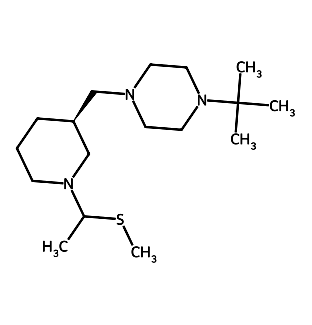 CSC(C)N1CCC[C@@H](CN2CCN(C(C)(C)C)CC2)C1